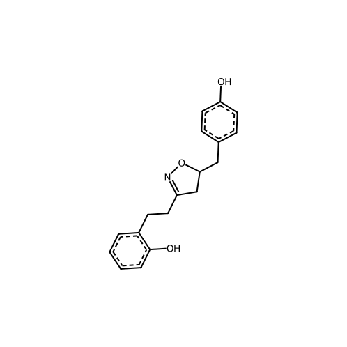 Oc1ccc(CC2CC(CCc3ccccc3O)=NO2)cc1